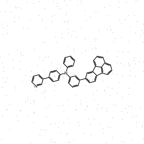 c1ccc(N(c2ccc(-c3cccnc3)cc2)c2cccc(-c3ccc4c(c3)-c3cccc5cccc-4c35)c2)cc1